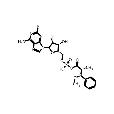 CON(c1ccccc1)[C@@H](C)C(=O)OP(=O)(O)OC[C@H]1O[C@@H](n2cnc3c(N)nc(F)nc32)[C@@H](O)[C@@H]1O